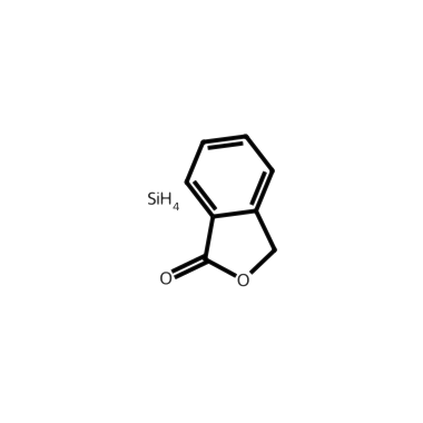 O=C1OCc2ccccc21.[SiH4]